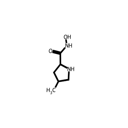 CC1CNC(C(=O)NO)C1